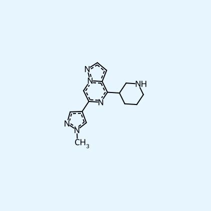 Cn1cc(-c2cn3nccc3c(C3CCCNC3)n2)cn1